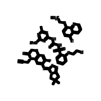 C#CCN1C(=O)COc2cc(F)c(/N=c3\snc4n3CC(C)(C)C4)cc21.COc1nc(C)nc(NC(=O)NS(=O)(=O)c2ccccc2OCCCl)n1.O=C(O)COc1ccc(Cl)c2cccnc12